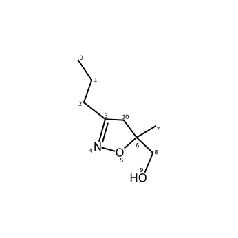 CCCC1=NOC(C)(CO)C1